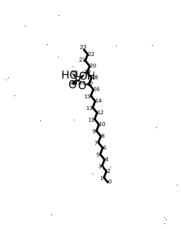 CCCCCCCCCCCCCCCCCC(CCCCCC)OP(=O)(O)O